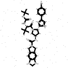 CC(C)(C)OC(=O)N[C@H](C(=O)N1C[C@H](OC(=O)N2Cc3cc4c(cc3C2)OCO4)C[C@H]1c1nc(-c2ccc(Br)cc2)c[nH]1)C(C)(C)C